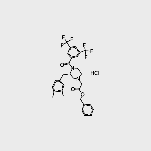 Cc1ccc(C[C@@H]2CN(CC(=O)OCc3ccccc3)CCN2C(=O)c2cc(C(F)(F)F)cc(C(F)(F)F)c2)cc1C.Cl